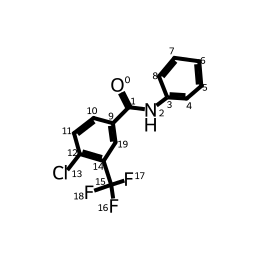 O=C(Nc1ccccc1)c1ccc(Cl)c(C(F)(F)F)c1